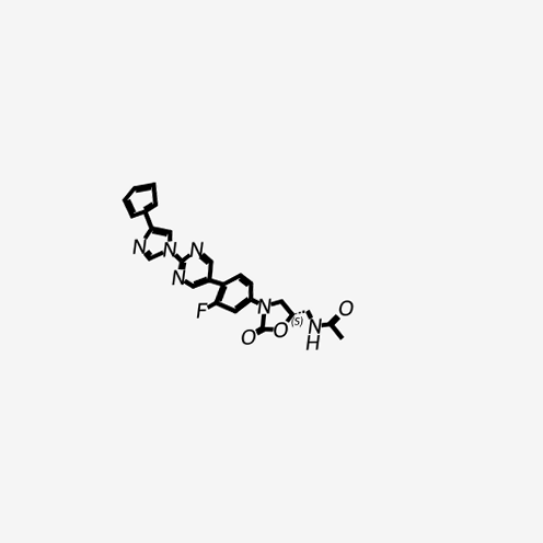 CC(=O)NC[C@H]1CN(c2ccc(-c3cnc(-n4cnc(-c5ccccc5)c4)nc3)c(F)c2)C(=O)O1